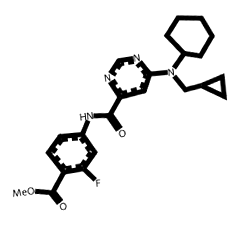 COC(=O)c1ccc(NC(=O)c2cc(N(CC3CC3)C3CCCCC3)ncn2)cc1F